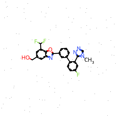 Cn1cnnc1-c1cc(F)ccc1-c1cccc(-c2nc3cc(CO)cc(C(F)F)c3o2)c1